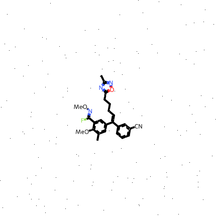 CON=C(F)c1cc(/C(=C\CCCc2nc(C)no2)c2cccc(C#N)c2)cc(C)c1OC